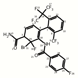 NC(=O)C1C=CC(c2c(C(F)(F)F)cccc2C(F)(C(F)(F)F)C(F)(F)F)=C(NC(=O)c2ccc(F)cc2)C1(F)Br